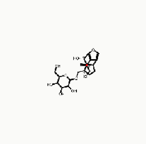 CC(CO)c1c2coc1[C@@H](O)[C@]1(C)C2CC[C@H]1COC1OC(CO)C(O)C(O)C1O